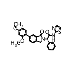 COc1ccc(-c2ccc3c(c2)C(=O)N([C@@H](C(=O)Nc2nccs2)c2ccccc2)C3)c(OC)c1